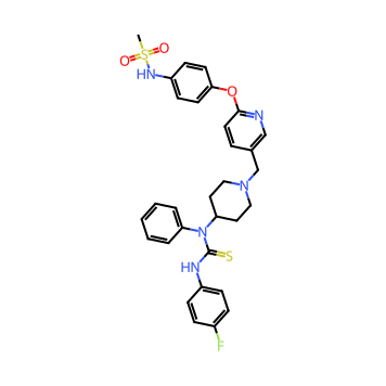 CS(=O)(=O)Nc1ccc(Oc2ccc(CN3CCC(N(C(=S)Nc4ccc(F)cc4)c4ccccc4)CC3)cn2)cc1